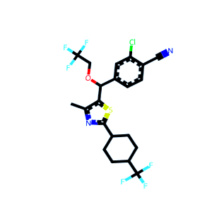 Cc1nc(C2CCC(C(F)(F)F)CC2)sc1C(OCC(F)(F)F)c1ccc(C#N)c(Cl)c1